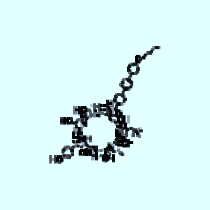 CCCCCOc1ccc(-c2ccc(-c3ccc(C(=O)N[C@H]4C[C@@H](O)[C@@H](O[C@@H](C)C[N+](C)(C)C)NC(=O)[C@@H]5[C@@H](O)[C@@H](C)CN5C(=O)[C@H]([C@@H](C)O)NC(=O)[C@H]([C@H](O)[C@@H](O)c5ccc(O)cc5)NC(=O)[C@@H]5C[C@@H](O)CN5C(=O)[C@H]([C@@H](C)O)NC4=O)cc3)cc2)cc1